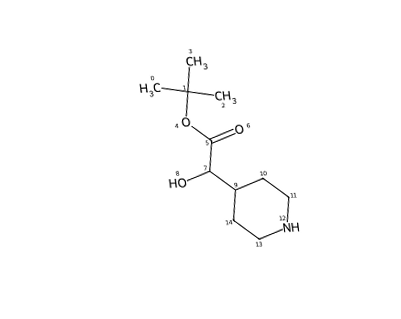 CC(C)(C)OC(=O)C(O)C1CCNCC1